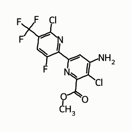 COC(=O)c1nc(-c2nc(Cl)c(C(F)(F)F)cc2F)cc(N)c1Cl